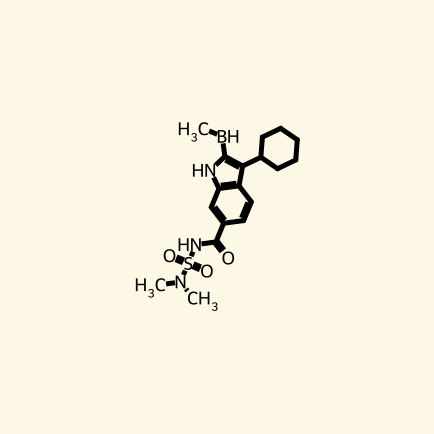 CBc1[nH]c2cc(C(=O)NS(=O)(=O)N(C)C)ccc2c1C1CCCCC1